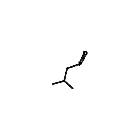 CC(C)CP=O